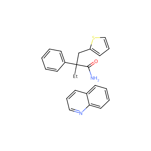 CCC(Cc1cccs1)(C(N)=O)c1ccccc1.c1ccc2ncccc2c1